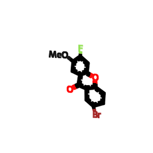 COc1cc2c(=O)c3cc(Br)ccc3oc2cc1F